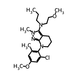 CCCN(CCOC)c1c2c(nn1C)N(c1c(C)cc(OC)cc1Cl)CCC2